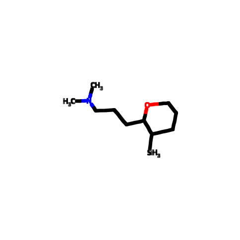 CN(C)CCCC1OCCCC1[SiH3]